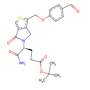 CC(C)(C)OC(=O)CC[C@@H](C(N)=O)N1Cc2c(csc2COc2ccc(C=O)cc2)C1=O